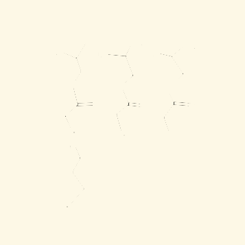 CC(C)COC(=O)CS.CC(C)COC(=O)CS.CC(C)COC(=O)CS.CCC[CH2][Sn]